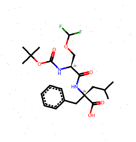 CC(C)C[C@@](Cc1ccccc1)(NC(=O)[C@H](COC(F)F)NC(=O)OC(C)(C)C)C(=O)O